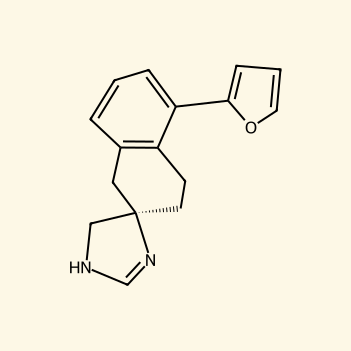 C1=N[C@@]2(CCc3c(cccc3-c3ccco3)C2)CN1